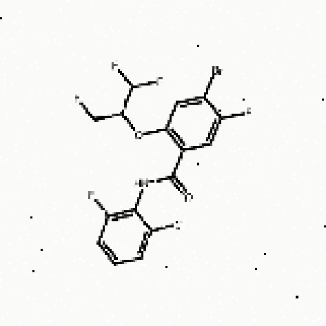 O=C(Nc1c(F)cccc1Cl)c1cc(F)c(Br)cc1O[C@@H](CF)C(F)F